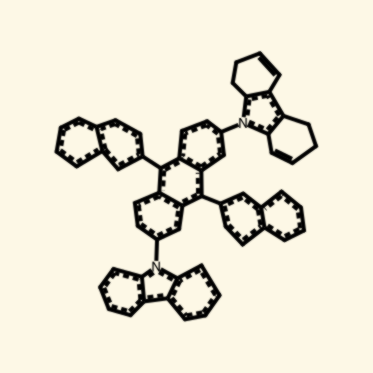 C1=Cc2c(c3c(n2-c2ccc4c(-c5ccc6ccccc6c5)c5ccc(-n6c7ccccc7c7ccccc76)cc5c(-c5ccc6ccccc6c5)c4c2)CCC=C3)CC1